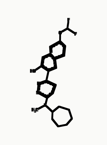 CN(c1ccc(-c2cc3ccc(OC(F)F)cc3cc2O)nn1)C1CCCCCC1